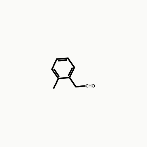 Cc1ccccc1[CH]C=O